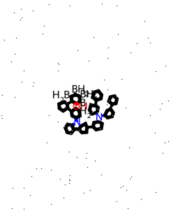 Bc1c(B)c(B)c(-c2ccccc2-c2cccc(-n3c4ccccc4c4ccc(-c5cccc(N(c6cccc(-c7ccccc7)c6)c6cccc(-c7ccccc7)c6)c5)cc43)c2)c(O)c1B